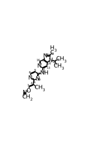 C=NO/C=C(\C)c1nccc(Nc2cc3c(cn2)nc(C)n3C(C)C)n1